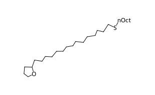 CCCCCCCCSCCCCCCCCCCCCCCCC1CCCO1